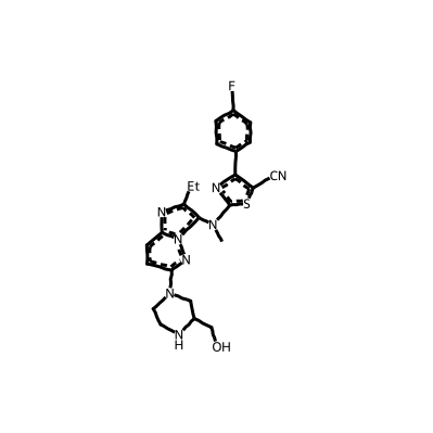 CCc1nc2ccc(N3CCNC(CO)C3)nn2c1N(C)c1nc(-c2ccc(F)cc2)c(C#N)s1